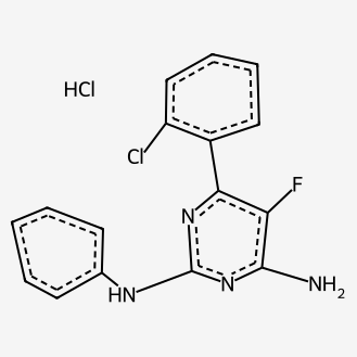 Cl.Nc1nc(Nc2ccccc2)nc(-c2ccccc2Cl)c1F